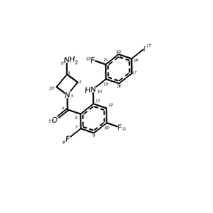 NC1CN(C(=O)c2c(F)cc(F)cc2Nc2ccc(I)cc2F)C1